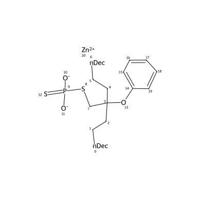 CCCCCCCCCCCCC(CCCCCCCCCCCC)(CSP([O-])([O-])=S)Oc1ccccc1.[Zn+2]